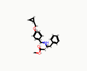 COC(=O)C[C@@H](Cc1ccccc1)NCc1ccc(OCC2CC2)cc1